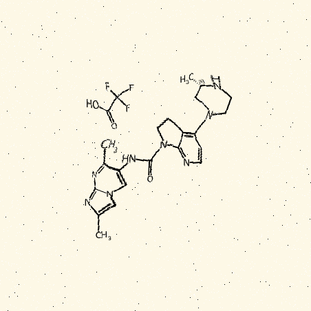 Cc1cn2cc(NC(=O)N3CCc4c(N5CCN[C@@H](C)C5)ccnc43)c(C)nc2n1.O=C(O)C(F)(F)F